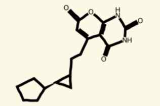 O=c1[nH]c(=O)c2c(CCC3C[C@H]3C3CCCC3)cc(=O)oc2[nH]1